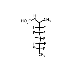 CC(NC(=O)O)C(F)(F)C(F)(F)C(F)(F)C(F)(F)C(F)(F)C(F)(F)F